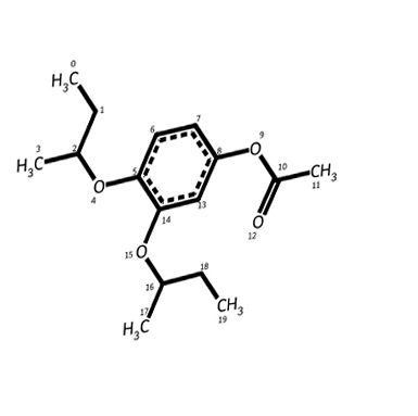 CCC(C)Oc1ccc(OC(C)=O)cc1OC(C)CC